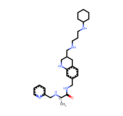 C[C@H](NCc1ccccn1)C(=O)NCc1ccc2c(c1)NCC(CNCCCNC1CCCCC1)C2